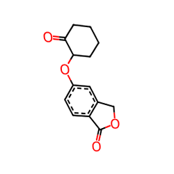 O=C1OCc2cc(OC3CCCCC3=O)ccc21